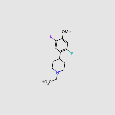 COc1cc(F)c(C2CCN(CC(=O)O)CC2)cc1I